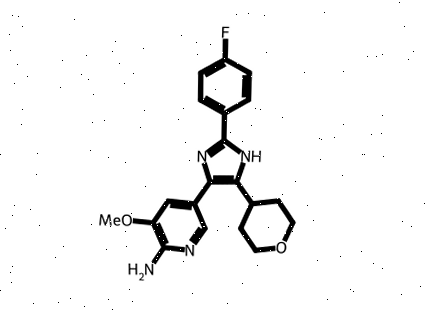 COc1cc(-c2nc(-c3ccc(F)cc3)[nH]c2C2CCOCC2)cnc1N